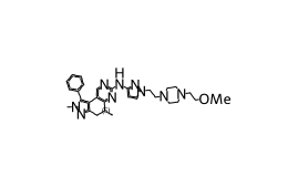 COCCN1CCN(CCn2ccc(Nc3ncc4c(n3)[C@@H](C)Cc3nn(C)c(-c5ccccc5)c3-4)n2)CC1